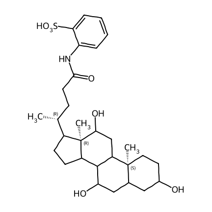 C[C@H](CCC(=O)Nc1ccccc1S(=O)(=O)O)C1CCC2C3C(O)CC4CC(O)CC[C@]4(C)C3CC(O)[C@@]21C